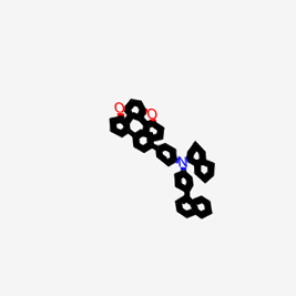 c1ccc2c(-c3ccc(N(c4ccc(-c5ccc(-c6cccc7oc8ccc9oc%10ccccc%10c9c8c67)cc5)cc4)c4cccc5ccccc45)cc3)cccc2c1